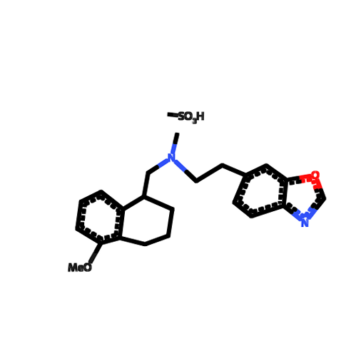 COc1cccc2c1CCCC2CN(C)CCc1ccc2ncoc2c1.CS(=O)(=O)O